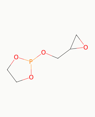 C1COP(OCC2CO2)O1